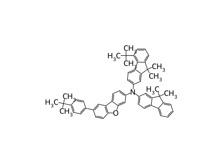 CC(C)(C)c1ccc(-c2ccc3oc4cc(N(c5ccc6c(c5)C(C)(C)c5ccccc5-6)c5ccc6c(c5)C(C)(C)c5cccc(C(C)(C)C)c5-6)ccc4c3c2)cc1